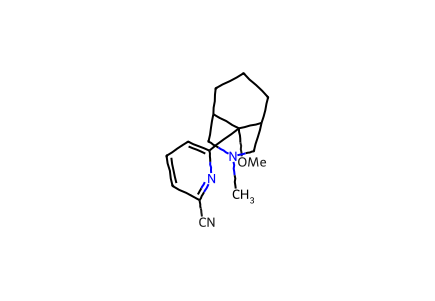 COC1(c2cccc(C#N)n2)C2CCCC1CN(C)C2